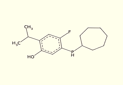 CC(C)c1cc(F)c(PC2CCCCCC2)cc1O